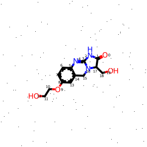 O=C1NC2=Nc3ccc(OCCO)cc3CN2C1CO